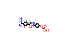 CC(NC(=O)c1ccc(OCC(=O)O)cc1)C(=O)c1ccc(/C(N)=N\O)cc1